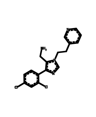 NCc1c(-c2ccc(Cl)cc2Cl)ncn1CCc1cccnc1